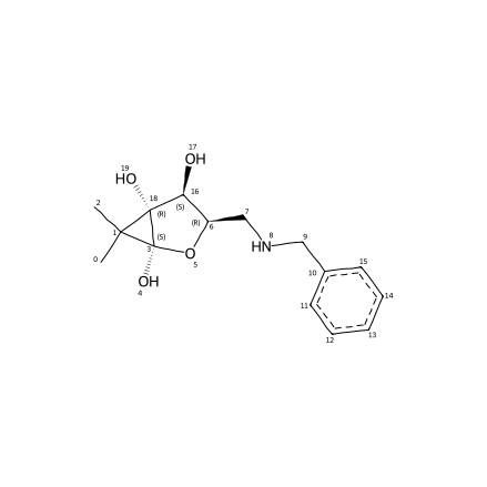 CC1(C)[C@]2(O)O[C@H](CNCc3ccccc3)[C@H](O)[C@]12O